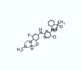 CN1CCN2c3c(F)cc(Nc4ncc(Cl)c(Nc5ccccc5P(C)(C)=O)n4)cc3OC[C@@H]2C1